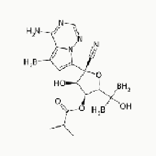 Bc1cc([C@]2(C#N)OC(C(B)(B)O)[C@@H](OC(=O)C(C)C)[C@H]2O)n2ncnc(N)c12